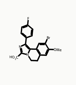 COc1cc2c(cc1Br)-c1c(-c3ccc(F)cc3)nc(C(=O)O)n1CC2